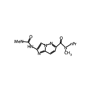 CCCN(C)C(=O)c1ccc2nc(NC(=O)NC)cn2n1